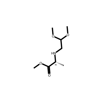 COC(=O)[C@@H](C)NCC(OC)OC